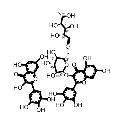 C[C@@H]1O[C@@H](Oc2c(-c3cc(O)c(O)c(O)c3)oc3cc(O)cc(O)c3c2=O)[C@H](O)[C@H](O)[C@H]1O.C[C@H](O)[C@H](O)[C@@H](O)[C@@H](O)C=O.O=c1c(O)c(-c2cc(O)c(O)c(O)c2)oc2cc(O)cc(O)c12